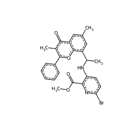 COC(=O)c1nc(Br)ccc1NC(C)c1cc(C)cc2c(=O)c(C)c(-c3ccccc3)oc12